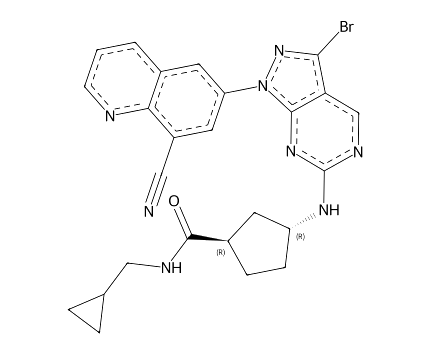 N#Cc1cc(-n2nc(Br)c3cnc(N[C@@H]4CC[C@@H](C(=O)NCC5CC5)C4)nc32)cc2cccnc12